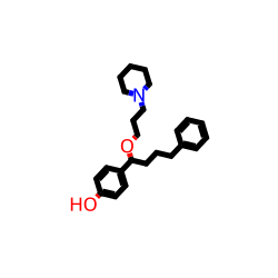 Oc1ccc(C(CCCc2ccccc2)OCCCN2CCCCC2)cc1